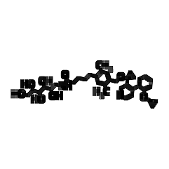 Cc1cc(COC2(c3cnccc3-c3ccccc3OC3CC3)CC2)c(C)cc1CCCCC(=O)NCC(O)C(O)C(O)C(O)CO